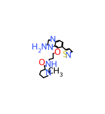 CN1CCCCC1C(=O)NCCCOc1c(-c2ccns2)ccc2ncc(N)nc12